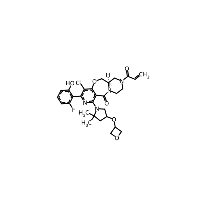 C=CC(=O)N1CCN2C(=O)c3c(N4CC(OC5COC5)CC4(C)C)nc(-c4c(O)cccc4F)c(Cl)c3OC[C@H]2C1